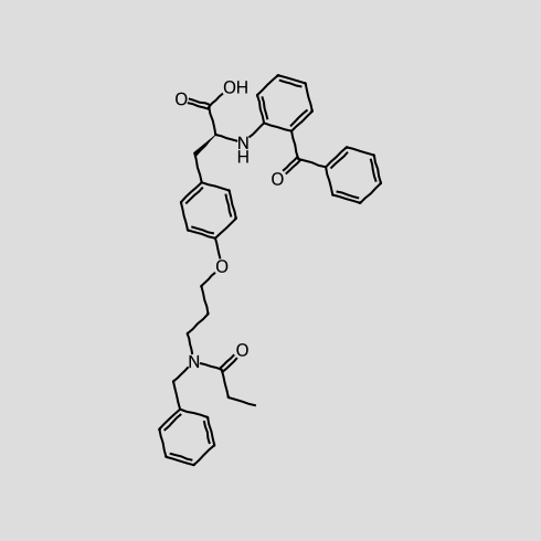 CCC(=O)N(CCCOc1ccc(C[C@H](Nc2ccccc2C(=O)c2ccccc2)C(=O)O)cc1)Cc1ccccc1